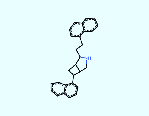 c1ccc2c(CCC3NCC4C(c5cccc6ccccc56)CC34)cccc2c1